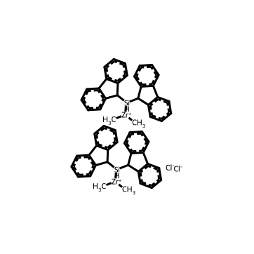 [CH3][Zr+]([CH3])[SiH](C1c2ccccc2-c2ccccc21)C1c2ccccc2-c2ccccc21.[CH3][Zr+]([CH3])[SiH](C1c2ccccc2-c2ccccc21)C1c2ccccc2-c2ccccc21.[Cl-].[Cl-]